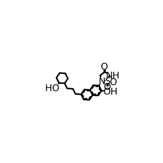 O=C1CN(c2cc3cc(CCCC4CCCCC4O)ccc3cc2O)S(=O)(=O)N1